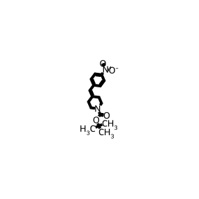 CC(C)(C)OC(=O)N1CCC(=Cc2ccc([N+](=O)[O-])cc2)CC1